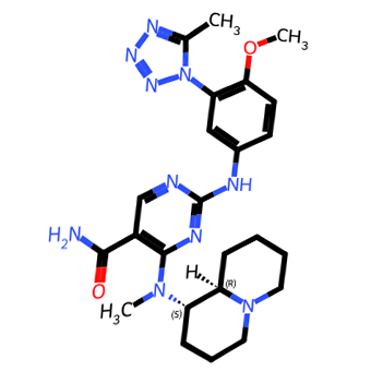 COc1ccc(Nc2ncc(C(N)=O)c(N(C)[C@H]3CCCN4CCCC[C@H]34)n2)cc1-n1nnnc1C